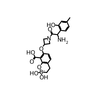 Cc1ccc(C(N)C(=O)N2CC(Oc3ccc4c(c3C(=O)O)O[B-](O)(O)CC4)C2)c(O)c1